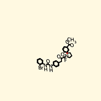 COC(=O)c1ccc(OC(F)(C(=O)Cc2ccc(NC(=O)Nc3ccccc3Br)cc2)N2CCCC2)cc1